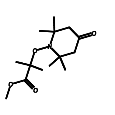 COC(=O)C(C)(C)ON1C(C)(C)CC(=O)CC1(C)C